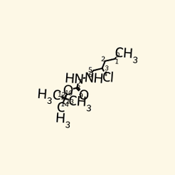 CCCC(Cl)CNNC(=O)OC(C)(C)C